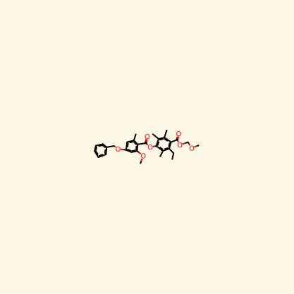 CCc1c(C)c(OC(=O)c2c(C)cc(OCc3ccccc3)cc2OC)c(C)c(C)c1C(=O)OCOC